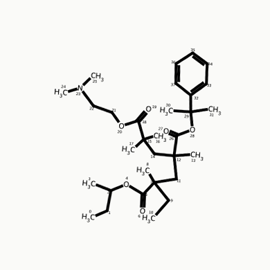 CCC(C)OC(=O)C(C)(CC)CC(C)(CC(C)(C)C(=O)OCCN(C)C)C(=O)OC(C)(C)c1ccccc1